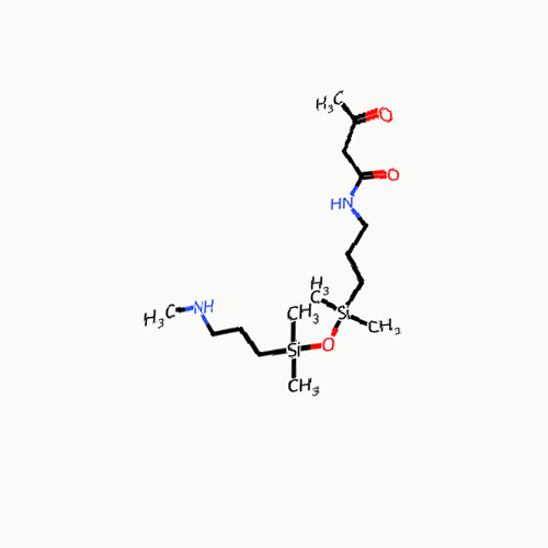 CNCCC[Si](C)(C)O[Si](C)(C)CCCNC(=O)CC(C)=O